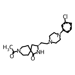 CC(=O)N1CCC2(CC1)C[C@@H](CCN1CCN(c3cccc(Cl)c3)CC1)NC2=O